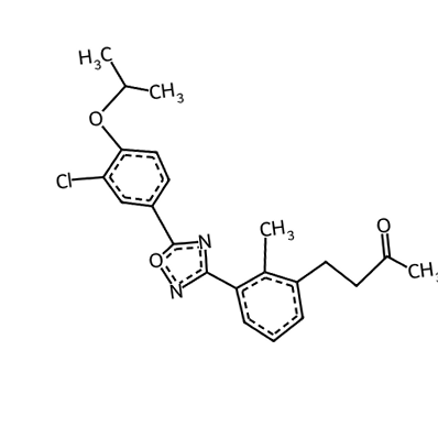 CC(=O)CCc1cccc(-c2noc(-c3ccc(OC(C)C)c(Cl)c3)n2)c1C